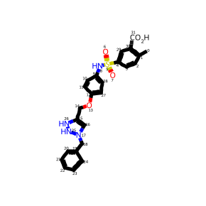 Cc1ccc(S(=O)(=O)Nc2ccc(OCC3=CN(Cc4ccccc4)NN3)cc2)cc1C(=O)O